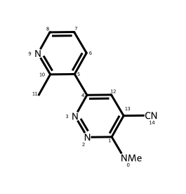 CNc1nnc(-c2cccnc2C)cc1C#N